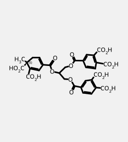 C[C@]1(C(=O)O)CC=C(C(=O)OC(COC(=O)c2ccc(C(=O)O)c(C(=O)O)c2)COC(=O)c2ccc(C(=O)O)c(C(=O)O)c2)C=C1C(=O)O